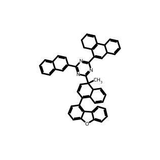 CC1(c2nc(C3=CC4C=CC=CC4C4=C3CCC=C4)nc(-c3ccc4ccccc4c3)n2)C=CC(c2cccc3oc4ccccc4c23)=C2C=CC=CC21